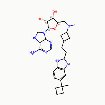 CN(C[C@H]1O[C@@H](N2CNC3C(N)=NC=NC32)[C@H](O)[C@@H]1O)C1CC(CCC2Nc3ccc(C4(C)CCC4)cc3N2)C1